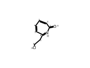 O=c1ccccc(CCCl)n1